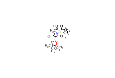 CC(C)S(C(C)C)(C(C)C)n1cc(Cl)c(B2OC(C)(C)C(C)(C)O2)c1